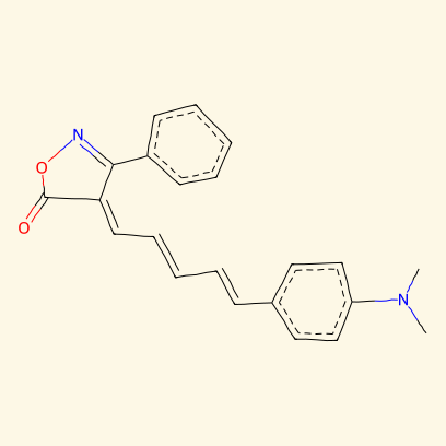 CN(C)c1ccc(C=CC=CC=C2C(=O)ON=C2c2ccccc2)cc1